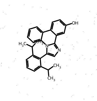 CC(C)c1cccc(C(C)C)c1-c1cnc2c3cc(O)ccc3c3ccccc3n12